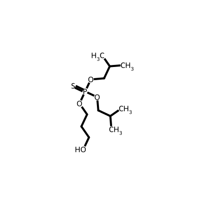 CC(C)COP(=S)(OCCCO)OCC(C)C